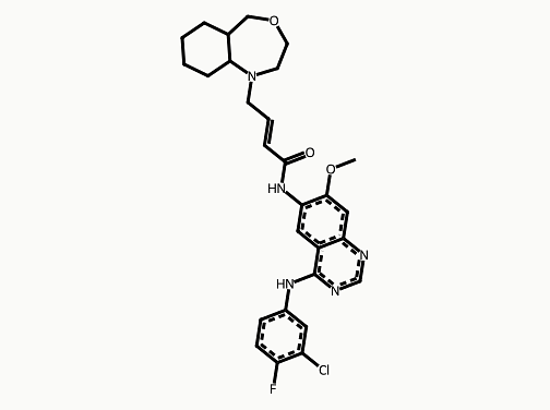 COc1cc2ncnc(Nc3ccc(F)c(Cl)c3)c2cc1NC(=O)/C=C/CN1CCOCC2CCCCC21